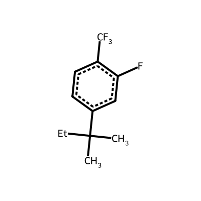 CCC(C)(C)c1ccc(C(F)(F)F)c(F)c1